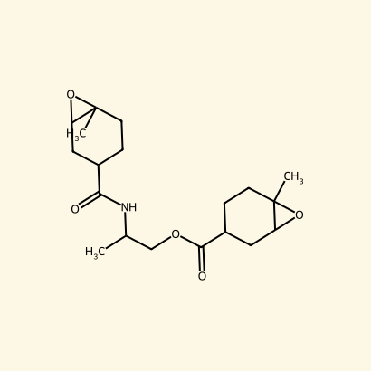 CC(COC(=O)C1CCC2(C)OC2C1)NC(=O)C1CCC2(C)OC2C1